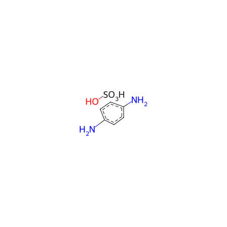 Nc1ccc(N)cc1.O=S(=O)(O)O